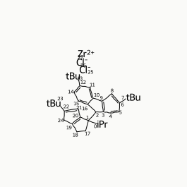 CC(C)C1(C2c3ccc(C(C)(C)C)cc3-c3cc(C(C)(C)C)ccc32)CCC2=C1C=C(C(C)(C)C)C2.[Cl-].[Cl-].[Zr+2]